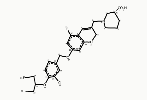 O=C(O)[C@@H]1CCCN(CC2=Cc3c(F)cc(OCc4ccc(OC(CF)CF)c(Cl)c4)cc3OC2)C1